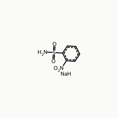 NS(=O)(=O)c1ccccc1[N+](=O)[O-].[NaH]